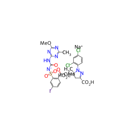 CC1(C(=O)O)CC(C(=O)O)=NN1c1ccc(Cl)cc1Cl.COC(=O)c1ccc(I)cc1S(=O)(=O)[N-]C(=O)Nc1nc(C)nc(OC)n1.[Na+]